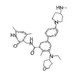 CCN(c1cc(-c2ccc(N3CCC(NC)CC3)cc2)cc(C(=O)NCc2c(C)cc(C)[nH]c2=O)c1C)C1CCOCC1